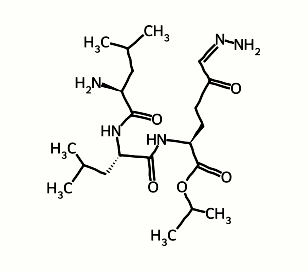 CC(C)C[C@H](NC(=O)[C@@H](N)CC(C)C)C(=O)N[C@@H](CCC(=O)/C=N\N)C(=O)OC(C)C